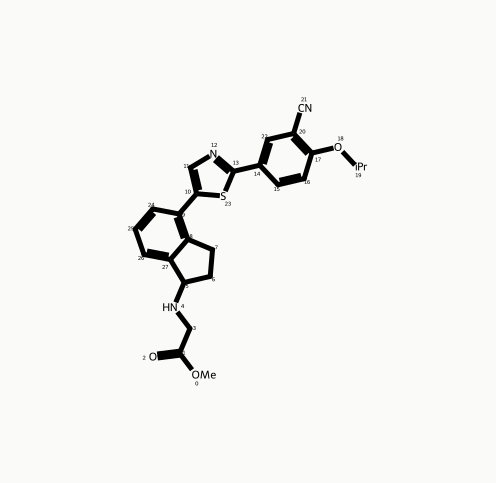 COC(=O)CNC1CCc2c(-c3cnc(-c4ccc(OC(C)C)c(C#N)c4)s3)cccc21